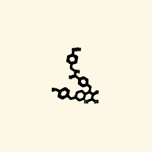 CCC(CC)C(=O)N(Cc1ccc(C(=O)NCc2ccc(OC)cc2)cc1)C1CCN(Cc2ccc(Br)cc2)CC1